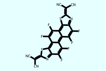 N#CC(C#N)=c1nc2c(F)c(F)c3c(c(F)c(F)c4c5sc(=C(C#N)C#N)nc5c(F)c(F)c43)c2s1